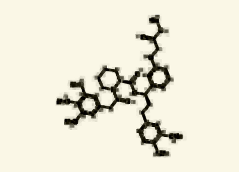 COc1ccc(CC[C@@H](OC(=O)[C@@H]2CCCCN2C(=O)Cc2cc(OC)c(OC)c(OC)c2)c2cccc(OCC(=O)OC(C)(C)C)c2)cc1OC